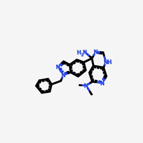 CN(C)c1cc2c(cn1)NC=NC2(N)c1ccc2c(cnn2Cc2ccccc2)c1